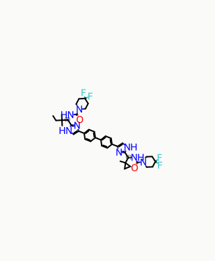 CCC(C)(C)[C@H](NC(=O)N1CCC(F)(F)CC1)c1nc(-c2ccc(-c3ccc(-c4c[nH]c([C@@H](NC(=O)N5CCC(F)(F)CC5)C5(C)CC5)n4)cc3)cc2)c[nH]1